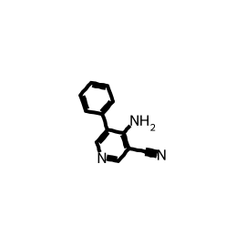 N#Cc1cncc(-c2ccccc2)c1N